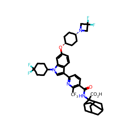 O=C(NC1(C(=O)O)C2CC3CC(C2)CC1C3)c1ccc(-c2cn(C3CCC(F)(F)CC3)c3cc(O[C@H]4CC[C@@H](N5CC(F)(F)C5)CC4)ccc23)nc1C(F)(F)F